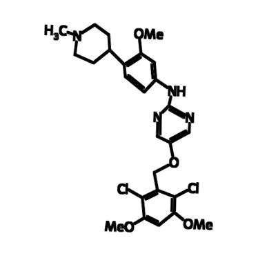 COc1cc(Nc2ncc(OCc3c(Cl)c(OC)cc(OC)c3Cl)cn2)ccc1C1CCN(C)CC1